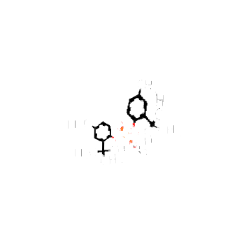 Cc1ccc(OP(=O)([O-])Oc2ccc(C)cc2C(C)(C)C)c(C(C)(C)C)c1.[Na+]